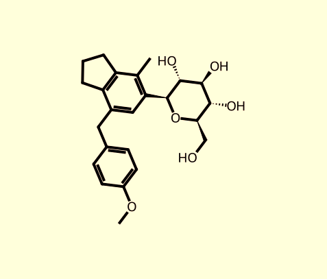 COc1ccc(Cc2cc([C@@H]3O[C@H](CO)[C@@H](O)[C@H](O)[C@H]3O)c(C)c3c2CCC3)cc1